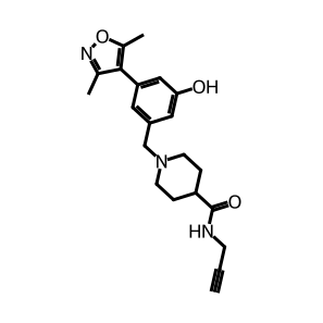 C#CCNC(=O)C1CCN(Cc2cc(O)cc(-c3c(C)noc3C)c2)CC1